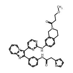 COCCC(=O)N1CCc2ccc(Nc3nccc(-c4c(-c5cccc(NC(=O)Cc6cccs6)c5)nc5ccccn45)n3)cc2C1